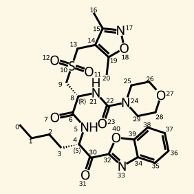 CCCC[C@H](NC(=O)[C@H](CS(=O)(=O)Cc1c(C)noc1C)NC(=O)N1CCOCC1)C(=O)c1nc2ccccc2o1